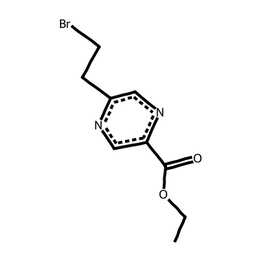 CCOC(=O)c1cnc(CCBr)cn1